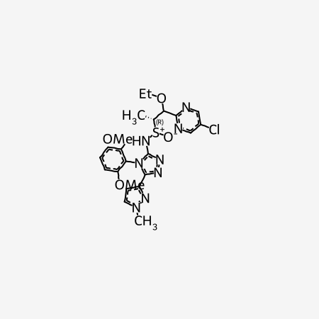 CCOC(c1ncc(Cl)cn1)[C@@H](C)[S+]([O-])Nc1nnc(-c2ccn(C)n2)n1-c1c(OC)cccc1OC